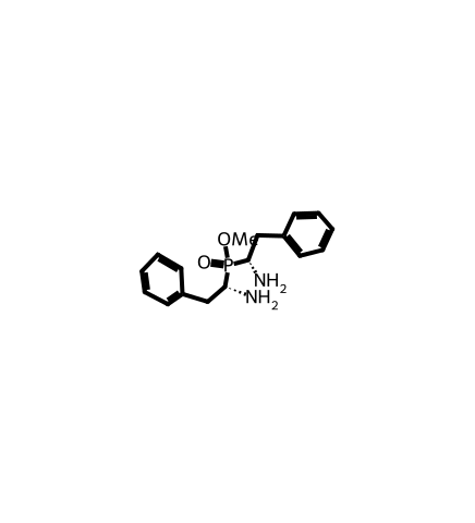 COP(=O)([C@H](N)Cc1ccccc1)[C@@H](N)Cc1ccccc1